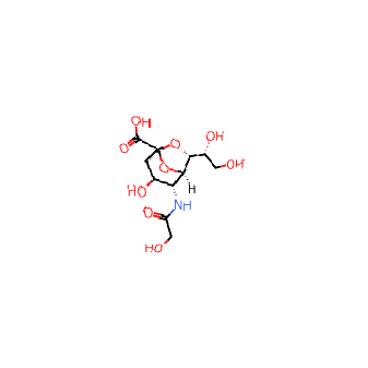 O=C(CO)N[C@H]1[C@H]2OC(C(=O)O)(C[C@@H]1O)O[C@@H]2[C@H](O)CO